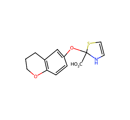 O=C(O)C1(Oc2ccc3c(c2)CCCO3)NC=CS1